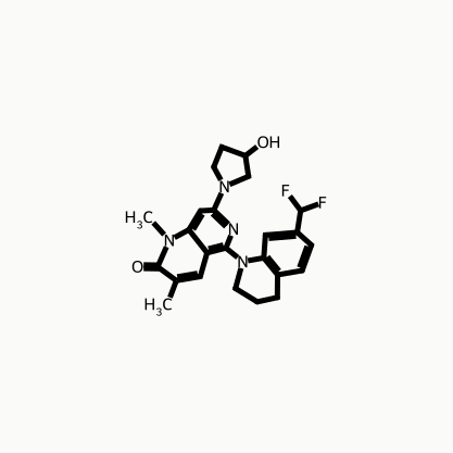 Cc1cc2c(N3CCCc4ccc(C(F)F)cc43)nc(N3CCC(O)C3)cc2n(C)c1=O